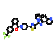 CCn1c(-c2csc(C3CCN(C(=O)c4ccccc4-c4ccc(C(F)(F)F)cc4)CC3)n2)nc(-c2cccnc2)c1C